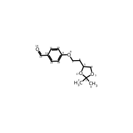 CC1(C)OCC(CCOc2ccc(C=O)cc2)O1